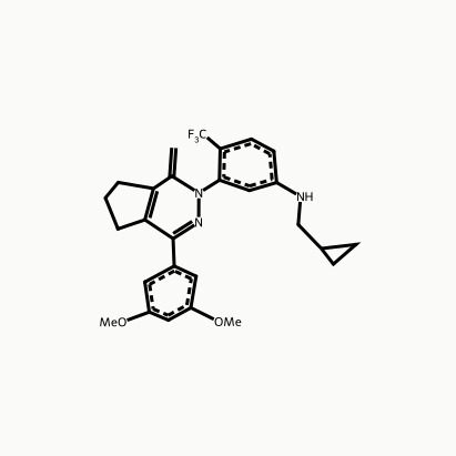 C=C1C2=C(CCC2)C(c2cc(OC)cc(OC)c2)=NN1c1cc(NCC2CC2)ccc1C(F)(F)F